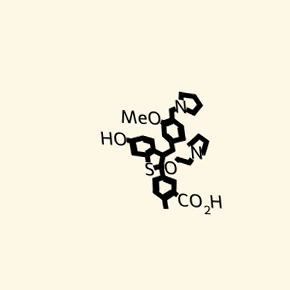 COc1cc(CC2c3ccc(O)cc3SC2(OCCN2CCCC2)c2ccc(C)c(C(=O)O)c2)ccc1CN1CCCC1